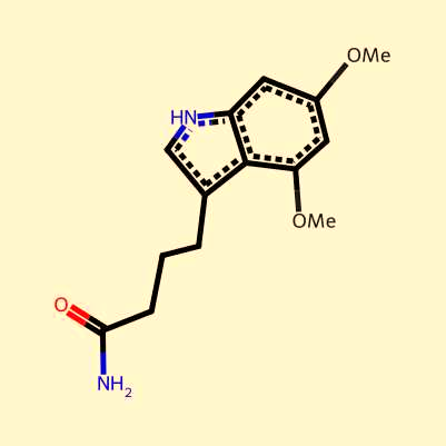 COc1cc(OC)c2c(CCCC(N)=O)c[nH]c2c1